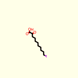 O=C(O)C(=O)CCCCCCCCCI